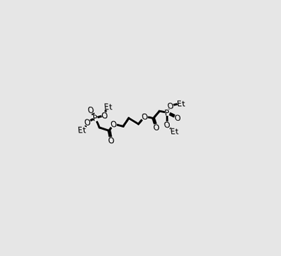 CCOP(=O)(CC(=O)OCCCOC(=O)CP(=O)(OCC)OCC)OCC